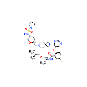 C=C(C)COC[C@@H](C)NC(=O)c1cc(F)ccc1Oc1cncnc1N1CC2(CCN(C[C@@H]3CC[C@@H](NS(=O)(=O)N4CCCC4)CO3)CC2)C1